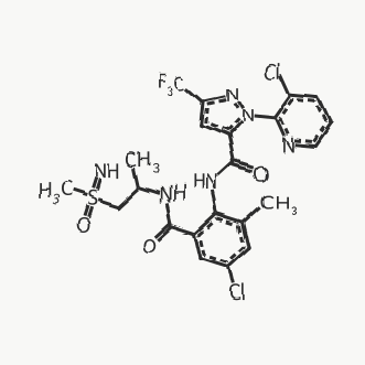 Cc1cc(Cl)cc(C(=O)NC(C)CS(C)(=N)=O)c1NC(=O)c1cc(C(F)(F)F)nn1-c1ncccc1Cl